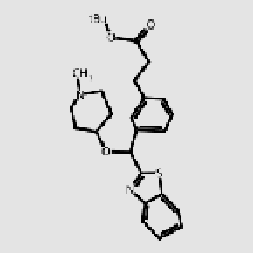 CN1CCC(OC(c2cccc(CCC(=O)OC(C)(C)C)c2)c2nc3ccccc3s2)CC1